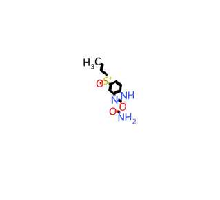 CC=CC[S+]([O-])c1ccc2[nH]c(OC(N)=O)nc2c1